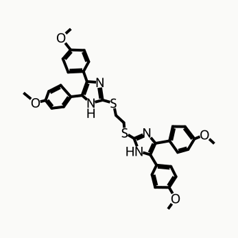 COc1ccc(-c2nc(SCCSc3nc(-c4ccc(OC)cc4)c(-c4ccc(OC)cc4)[nH]3)[nH]c2-c2ccc(OC)cc2)cc1